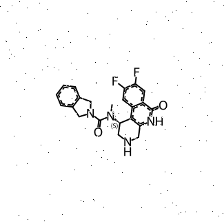 CN(C(=O)N1Cc2ccccc2C1)[C@@H]1CNCc2[nH]c(=O)c3cc(F)c(F)cc3c21